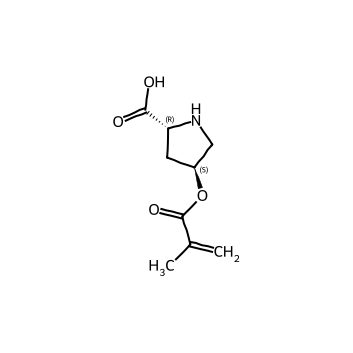 C=C(C)C(=O)O[C@@H]1CN[C@@H](C(=O)O)C1